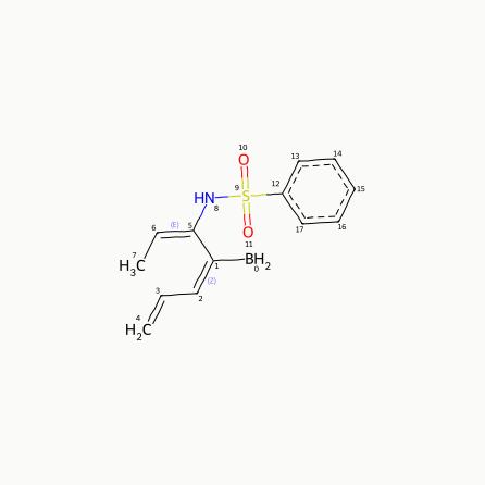 BC(=C/C=C)/C(=C\C)NS(=O)(=O)c1ccccc1